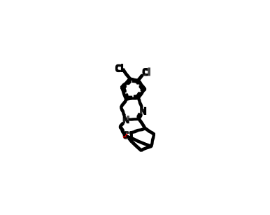 Clc1cc2c(cc1Cl)N=C1C3CC4CC(C3)CC(C4)N1C2